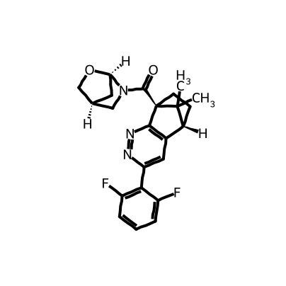 CC1(C)[C@@H]2CC[C@@]1(C(=O)N1C[C@H]3CO[C@@H]1C3)c1nnc(-c3c(F)cccc3F)cc12